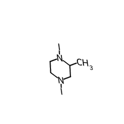 CC1CN(I)CCN1I